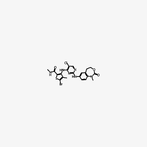 CNC(=O)c1sc(Br)c(C)c1Nc1nc(Nc2ccc3c(c2)CCOC(=O)N3C)ncc1Cl